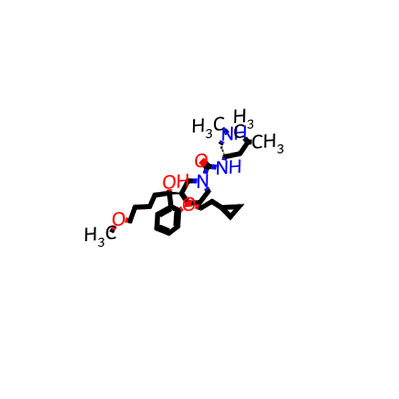 CNC[C@H](CC(C)C)NC(=O)N1CCC[C@@H](C(O)(CCCCOC)c2ccccc2OCCC2CC2)C1